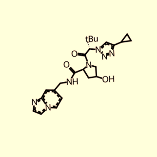 CC(C)(C)[C@@H](C(=O)N1CC(O)CC1C(=O)NCc1ccn2ccnc2c1)n1cc(C2CC2)nn1